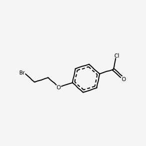 O=C(Cl)c1ccc(OCCBr)cc1